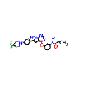 C=CC(=O)Nc1cccc(Oc2ncnc3[nH]c(-c4ccc(N5CCC(F)(F)CC5)cc4)cc23)c1